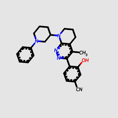 Cc1c(-c2ccc(C#N)cc2O)nnc2c1CCCN2C1CCCN(c2ccccc2)C1